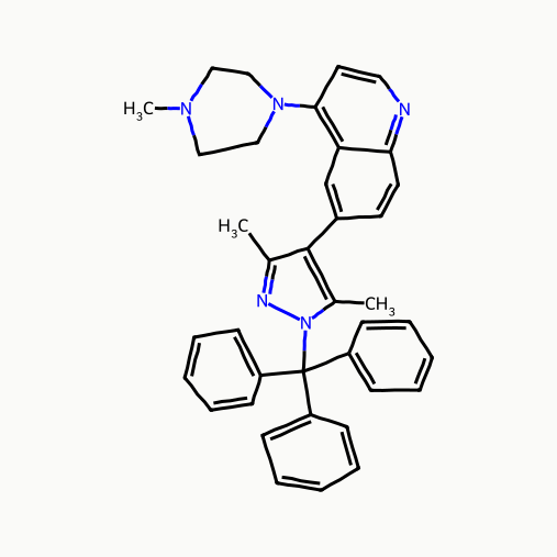 Cc1nn(C(c2ccccc2)(c2ccccc2)c2ccccc2)c(C)c1-c1ccc2nccc(N3CCN(C)CC3)c2c1